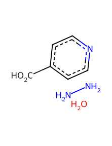 NN.O.O=C(O)c1ccncc1